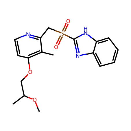 COC(C)COc1ccnc(CS(=O)(=O)c2nc3ccccc3[nH]2)c1C